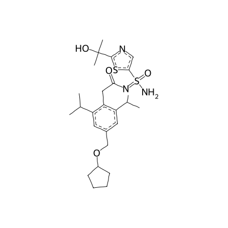 CC(C)c1cc(COC2CCCC2)cc(C(C)C)c1CC(=O)N=S(N)(=O)c1cnc(C(C)(C)O)s1